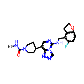 CCNC(=O)N1CCC(c2cnc(NCc3c(F)ccc4c3CCO4)n3cnnc23)CC1